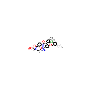 CC(CO)N1C[C@@H](C)[C@@H](CN(C)Cc2ccc(OCc3cc(C(F)(F)F)ccc3Cl)cc2)Oc2c(NC(=O)Cc3ccc(C(F)(F)F)cc3)cccc2C1=O